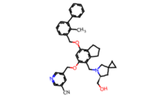 Cc1c(COc2cc(OCc3cncc(C#N)c3)c(CN3CC4(CC4)C[C@H]3CO)c3c2CCC3)cccc1-c1ccccc1